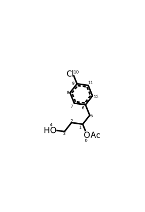 CC(=O)OC(CCO)Cc1ccc(Cl)cc1